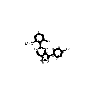 COc1cccc(F)c1-c1ncc2[nH]nc(-c3ccc(F)cc3)c2n1